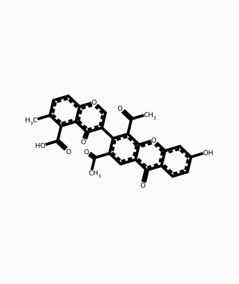 CC(=O)c1cc2c(=O)c3ccc(O)cc3oc2c(C(C)=O)c1-c1coc2ccc(C)c(C(=O)O)c2c1=O